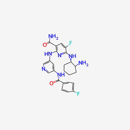 NC(=O)c1cc(F)c(N[C@@H]2CCCCC2N)nc1Nc1cncc(NC(=O)c2ccc(F)cc2)c1